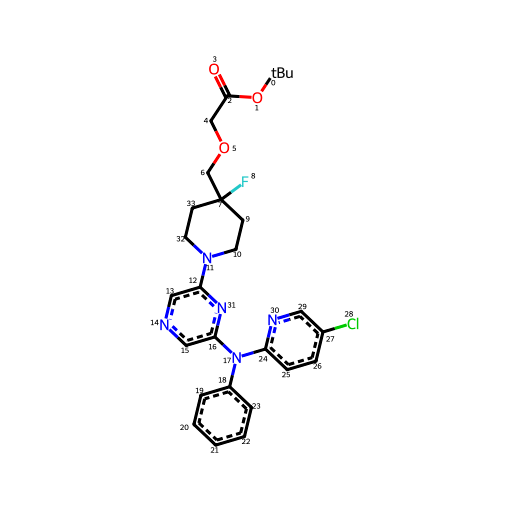 CC(C)(C)OC(=O)COCC1(F)CCN(c2cncc(N(c3ccccc3)c3ccc(Cl)cn3)n2)CC1